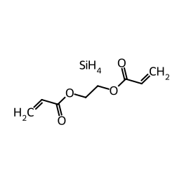 C=CC(=O)OCCOC(=O)C=C.[SiH4]